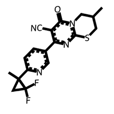 CC1CSc2nc(-c3ccc(C4(C)CC4(F)F)nc3)c(C#N)c(=O)n2C1